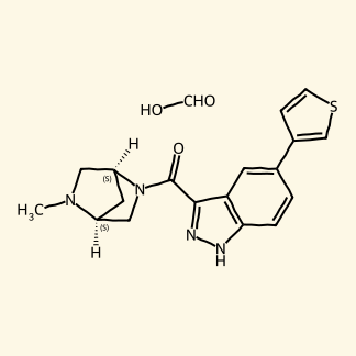 CN1C[C@@H]2C[C@H]1CN2C(=O)c1n[nH]c2ccc(-c3ccsc3)cc12.O=CO